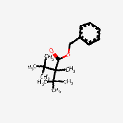 CC(C)(C)C(C)(C(=O)OCc1ccccc1)C(C)(C)C